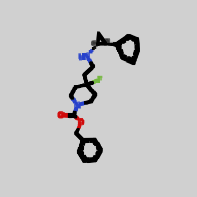 O=C(OCc1ccccc1)N1CCC(F)(CCN[C@@H]2C[C@H]2c2ccccc2)CC1